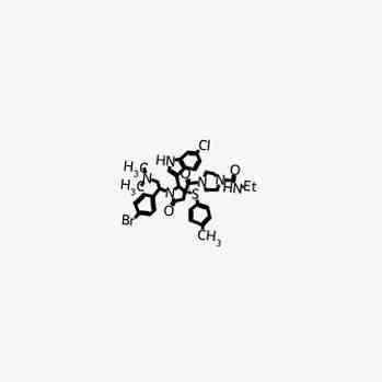 CCNC(=O)N1CCN(C(=O)[C@]2(Sc3ccc(C)cc3)CC(=O)N(C(CN(C)C)c3ccc(Br)cc3)C2c2c[nH]c3cc(Cl)ccc23)CC1